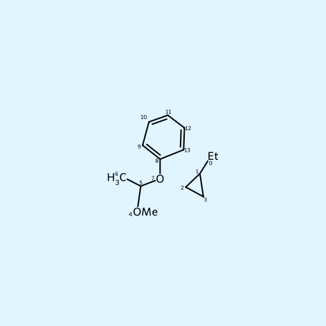 CCC1CC1.COC(C)Oc1ccccc1